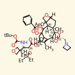 CC[Si](CC)(CC)O[C@@H](C(=O)O[C@H]1C[C@@]2(O)[C@@H](OC(=O)c3ccccc3)[C@H]3[C@@](C)(CC[C@H]4OC[C@]43OC(C)=O)[C@@H]3O[C@H](CN4CCC4)O[C@@H]3C(=C1C)C2(C)C)[C@@H](NC(=O)OC(C)(C)C)C1(C)COC1